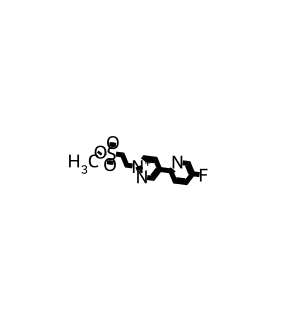 COS(=O)(=O)CC[n+]1ccc(-c2ccc(F)cn2)cn1